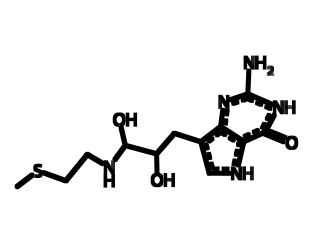 CSCCNC(O)C(O)Cc1c[nH]c2c(=O)[nH]c(N)nc12